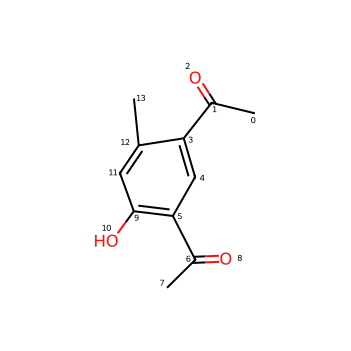 CC(=O)c1cc(C(C)=O)c(O)cc1C